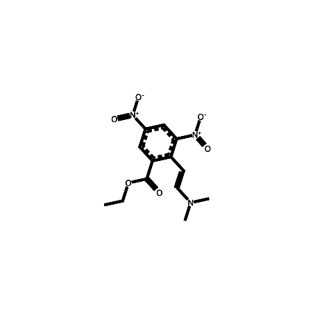 CCOC(=O)c1cc([N+](=O)[O-])cc([N+](=O)[O-])c1C=CN(C)C